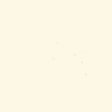 O=C(NCc1cscn1)N1CC2(CCN(C/C=C/c3ccc(Cl)c(Cl)c3)CC2)c2c1ccc1scnc21